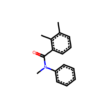 Cc1cccc(C(=O)N(C)c2ccccc2)c1C